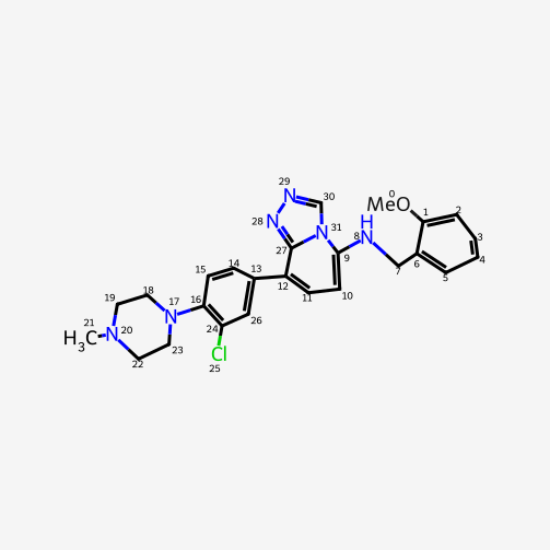 COc1ccccc1CNc1ccc(-c2ccc(N3CCN(C)CC3)c(Cl)c2)c2nncn12